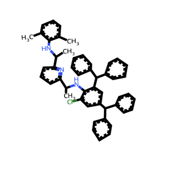 Cc1cccc(C)c1NC(C)c1cccc(C(C)Nc2c(Cl)cc(C(c3ccccc3)c3ccccc3)cc2C(c2ccccc2)c2ccccc2)n1